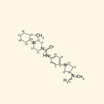 CC1CN(C(=O)Nc2ccc(N3CCC(N(C)C)C3)cc2)CCN1C1CCCCC1